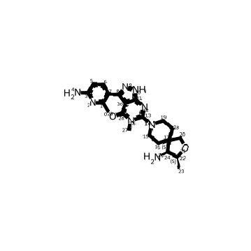 Cc1nc(N)ccc1-c1n[nH]c2nc(N3CCC4(CC3)CO[C@@H](C)[C@H]4N)n(C)c(=O)c12